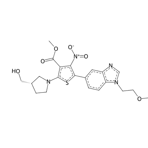 COCCn1cnc2cc(-c3sc(N4CC[C@H](CO)C4)c(C(=O)OC)c3[N+](=O)[O-])ccc21